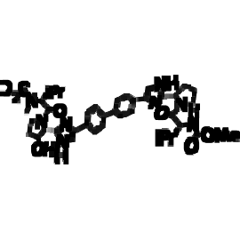 COC(=O)N[C@H](C(=O)N1CCCC1c1nc(-c2ccc(-c3ccc(-c4c[nH]c([C@@H]5C(O)CCN5C(=O)[C@H](C(C)C)N(C)C(=O)O)n4)cc3)cc2)c[nH]1)C(C)C